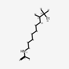 C=C(C)NCCCCCCCC(C)C(C)(C)CC